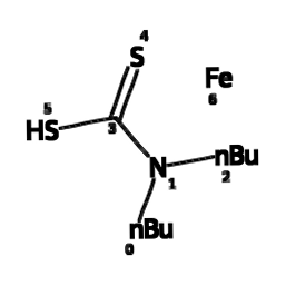 CCCCN(CCCC)C(=S)S.[Fe]